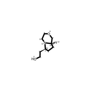 OCC[C@@H]1CC[C@H]2COCCN12